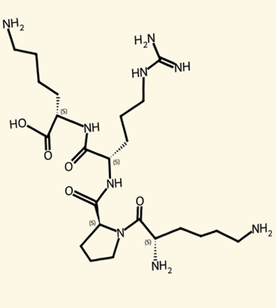 N=C(N)NCCC[C@H](NC(=O)[C@@H]1CCCN1C(=O)[C@@H](N)CCCCN)C(=O)N[C@@H](CCCCN)C(=O)O